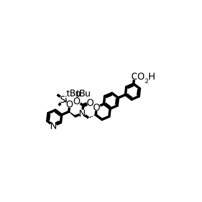 CC(C)(C)OC(=O)N(C[C@H]1CCc2cc(-c3cccc(C(=O)O)c3)ccc2O1)C[C@H](O[Si](C)(C)C(C)(C)C)c1cccnc1